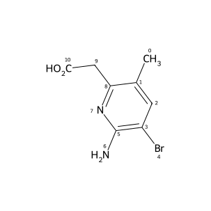 Cc1cc(Br)c(N)nc1CC(=O)O